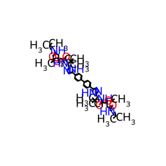 CCO[C@H](CC(=O)NCC(C)C)C(=O)NC(c1ncc(-c2ccc(-c3ccc(-c4cnc(C(NC(=O)[C@@H](CC(=O)NCC(C)C)OCC)C(C)(C)C)[nH]4)cc3)cc2)[nH]1)C(C)(C)C